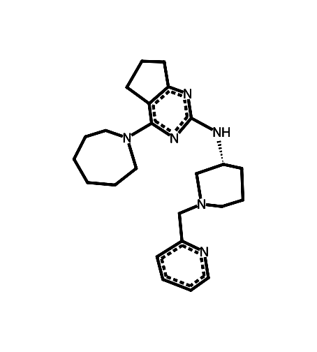 c1ccc(CN2CCC[C@@H](Nc3nc4c(c(N5CCCCCC5)n3)CCC4)C2)nc1